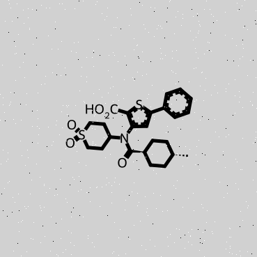 C[C@H]1CC[C@H](C(=O)N(c2cc(-c3ccccc3)sc2C(=O)O)C2CCS(=O)(=O)CC2)CC1